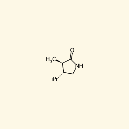 CC(C)[C@H]1CNC(=O)[C@@H]1C